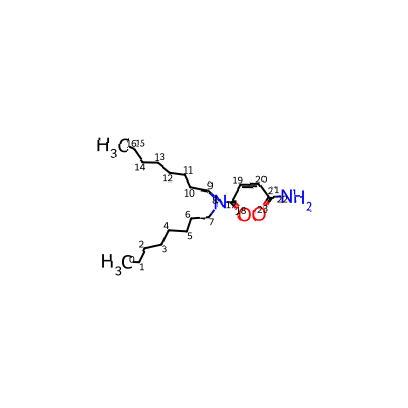 CCCCCCCCN(CCCCCCCC)C(=O)/C=C\C(N)=O